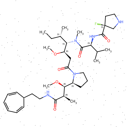 CC[C@H](C)[C@@H]([C@@H](CC(=O)N1CCC[C@H]1[C@H](OC)[C@@H](C)C(=O)NCCC1C=CC=CC=C1)OC)N(C)C(=O)[C@@H](NC(=O)[C@]1(F)CCNC1)C(C)C